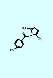 Cc1ccc(C)n1NC(=O)c1ccc(O)cc1